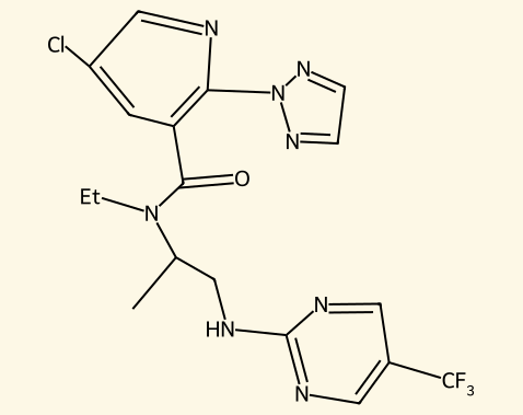 CCN(C(=O)c1cc(Cl)cnc1-n1nccn1)C(C)CNc1ncc(C(F)(F)F)cn1